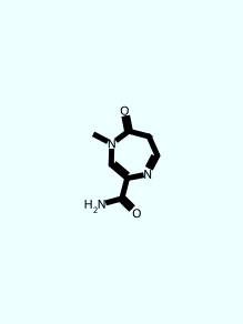 CN1C=C(C(N)=O)N=C[CH]C1=O